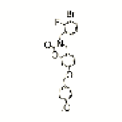 COc1ccc(COc2ccc3c(c2)OC(=O)N(Cc2cccc(Br)c2F)C3)cc1